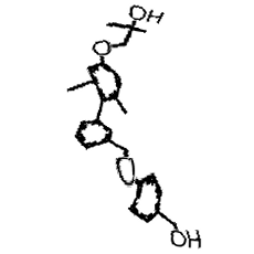 Cc1cc(OCC(C)(C)O)cc(C)c1-c1cccc(COc2ccc(CO)cc2)c1